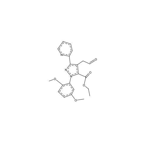 CCOC(=O)c1c(CC=O)c(-c2ccccn2)nn1-c1cc(OC)ccc1OC